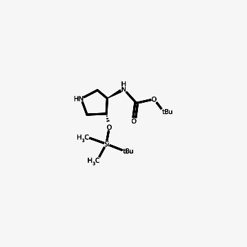 CC(C)(C)OC(=O)N[C@@H]1CNC[C@H]1O[Si](C)(C)C(C)(C)C